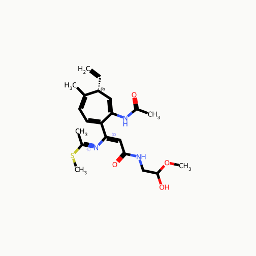 C=C[C@@H]1C=C(NC(C)=O)C(C(=C/C(=O)NCC(O)OC)/N=C(\C)SC)=CC=C1C